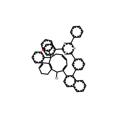 CCC1C2=C(C=CCC2)C(c2ccccc2)(c2ccccc2)C/C=C\C=C/1c1ccc2ccccc2c1-c1cccc(-c2nc(-c3ccccc3)nc(-c3ccccc3)n2)c1